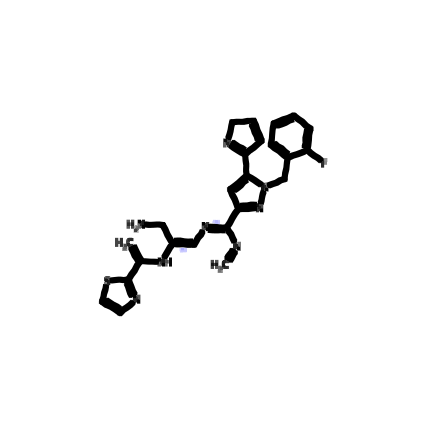 C=N/C(=N\C=C(/CN)NC(=C)c1nccs1)c1cc(C2=NCC=C2)n(Cc2ccccc2F)n1